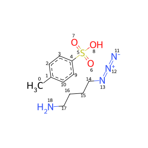 Cc1ccc(S(=O)(=O)O)cc1.[N-]=[N+]=NCCCCN